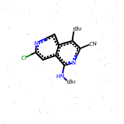 CC(C)(C)Nc1nc(C#N)c(C(C)(C)C)c2cnc(Cl)cc12